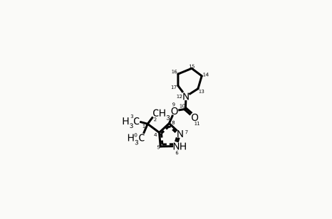 CC(C)(C)c1c[nH]nc1OC(=O)N1CCCCC1